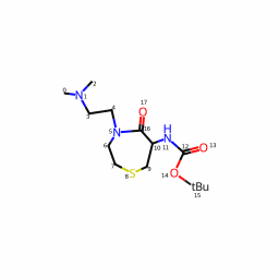 CN(C)CCN1CCSCC(NC(=O)OC(C)(C)C)C1=O